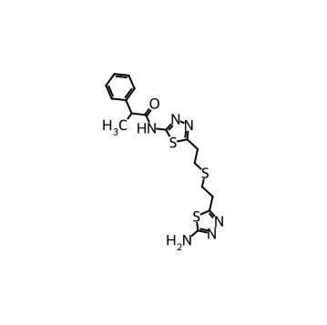 CC(C(=O)Nc1nnc(CCSCCc2nnc(N)s2)s1)c1ccccc1